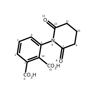 O=C(O)c1cccc(N2C(=O)CCCC2=O)c1C(=O)O